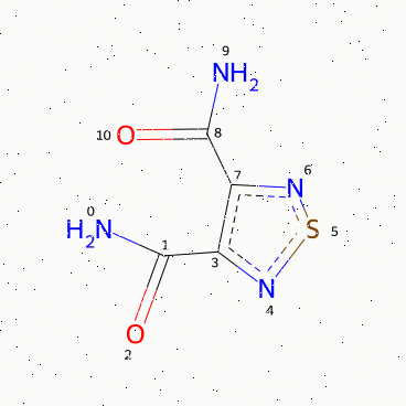 NC(=O)c1nsnc1C(N)=O